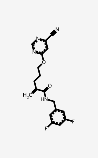 C=C(CCCOc1cc(C#N)ncn1)C(=O)NCc1cc(F)cc(F)c1